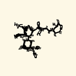 Cc1nc(C(=O)NCCN2CCOCC2)cc(-c2cccc([N+](=O)[O-])c2)c1C#N